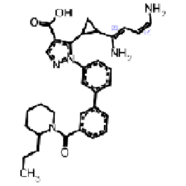 CCCC1CCCCN1C(=O)c1cccc(-c2cccc(-n3ncc(C(=O)O)c3C3CC3/C(N)=C/C=C\N)c2)c1